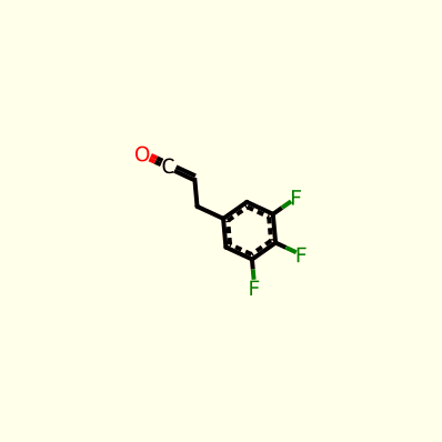 O=C=CCc1cc(F)c(F)c(F)c1